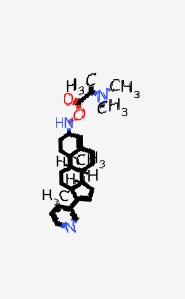 CC(C(=O)ONC1C=C2CC[C@H]3[C@H](CC[C@]4(C)C(c5cccnc5)=CC[C@@H]34)[C@@]2(C)CC1)N(C)C